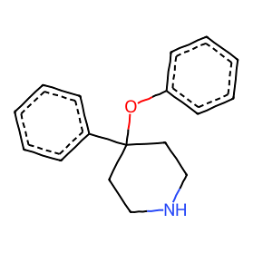 c1ccc(OC2(c3ccccc3)CCNCC2)cc1